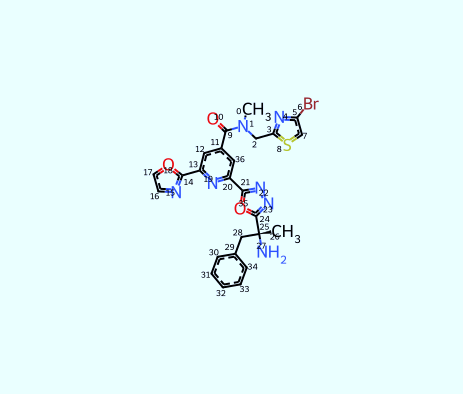 CN(Cc1nc(Br)cs1)C(=O)c1cc(-c2ncco2)nc(-c2nnc([C@](C)(N)Cc3ccccc3)o2)c1